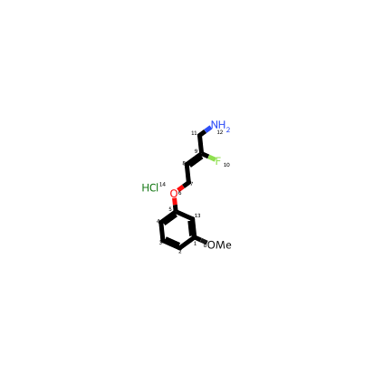 COc1cccc(OCC=C(F)CN)c1.Cl